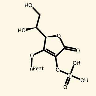 CCCCCOC1=C(OP(=O)(O)O)C(=O)O[C@@H]1[C@@H](O)CO